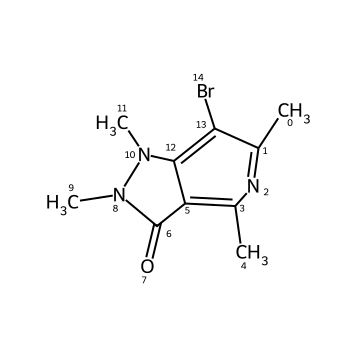 Cc1nc(C)c2c(=O)n(C)n(C)c2c1Br